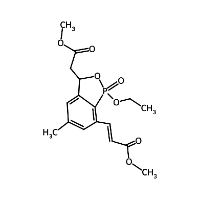 CCOP1(=O)OC(CC(=O)OC)c2cc(C)cc(/C=C/C(=O)OC)c21